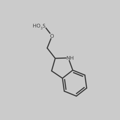 O=S(=O)(O)OCC1Cc2ccccc2N1